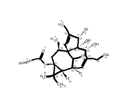 CCCCCCCC(=O)O[C@@]12C[C@@H](C)[C@]34C=C(C)[C@H](O)[C@@]3(O)[C@H](O)C(CO)=C[C@H](C4O)[C@@H]1C2(C)C